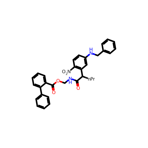 CCCC(C(=O)NCOC(=O)c1ccccc1-c1ccccc1)c1cc(NCc2ccccc2)ccc1[N+](=O)[O-]